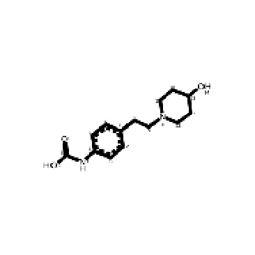 O=C(O)Nc1ccc(CCN2CCC(O)CC2)cc1